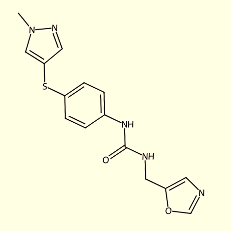 Cn1cc(Sc2ccc(NC(=O)NCc3cnco3)cc2)cn1